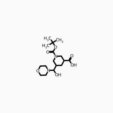 CC(C)(C)OC(=O)N1CC(C(=O)O)CC(C(O)N2CCOCC2)C1